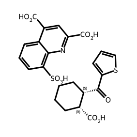 O=C(O)c1cc(C(=O)O)c2cccc(S(=O)(=O)O)c2n1.O=C(c1cccs1)[C@H]1CCCC[C@H]1C(=O)O